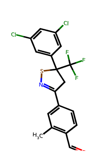 Cc1cc(C2=NSC(c3cc(Cl)cc(Cl)c3)(C(F)(F)F)C2)ccc1C=O